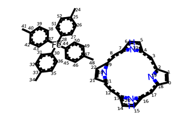 C1=Cc2cc3ccc(cc4nc(cc5ccc(cc1n2)[nH]5)C=C4)[nH]3.Cc1cc[c]([Fe]([c]2ccc(C)cc2)([c]2ccc(C)cc2)[c]2ccc(C)cc2)cc1